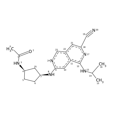 CC(=O)N[C@@H]1CC[C@H](Nc2cc3c(NC(C)C)nc(C#N)cc3cn2)C1